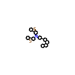 c1ccc2c(c1)ccc1ccc3ccc(-c4ccc(N(c5ccc6sc7ccccc7c6c5)c5ccc6sc7ccccc7c6c5)cc4)cc3c12